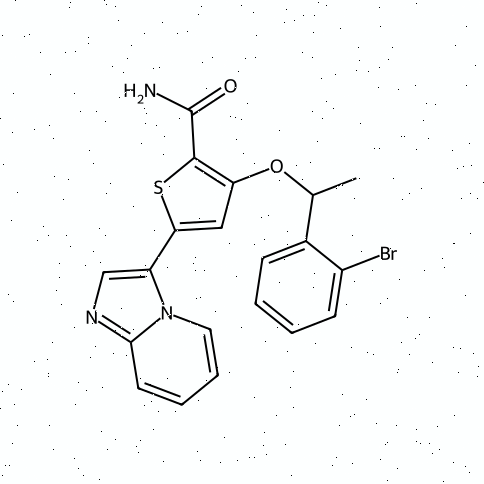 CC(Oc1cc(-c2cnc3ccccn23)sc1C(N)=O)c1ccccc1Br